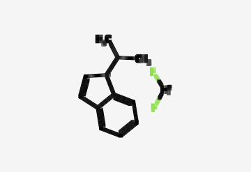 CC(C)[C]1C=Cc2ccccc21.[F][Hf][F]